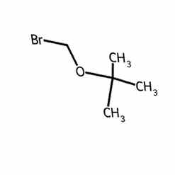 CC(C)(C)OCBr